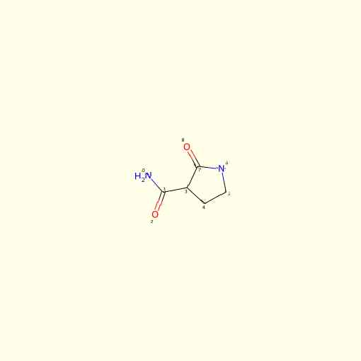 NC(=O)C1CC[N]C1=O